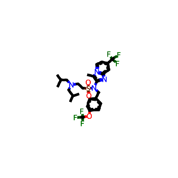 Cc1c(N(Cc2ccc(OC(F)(F)F)cc2)S(=O)(=O)CCN(CC(C)C)CC(C)C)nc2cc(C(F)(F)F)ccn12